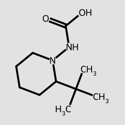 CC(C)(C)C1CCCCN1NC(=O)O